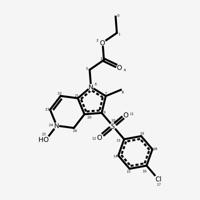 CCOC(=O)Cn1c(C)c(S(=O)(=O)c2ccc(Cl)cc2)c2c1C=CN(O)C2